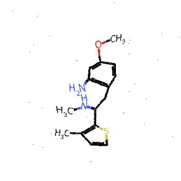 CNC(Cc1ccc(OC)cc1N)c1sccc1C